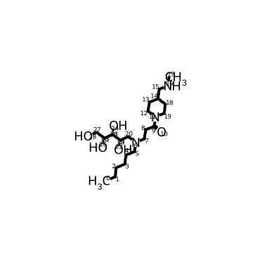 CCCCCCN(CCC(=O)N1CCC(CNC)CC1)C[C@H](O)[C@@H](O)[C@H](O)CO